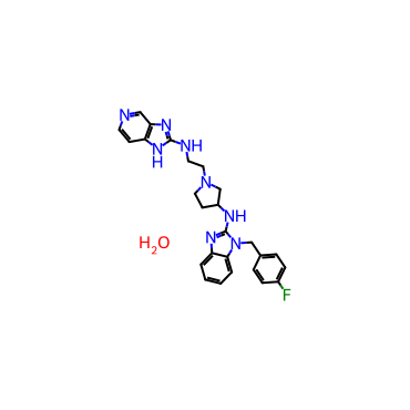 Fc1ccc(Cn2c(NC3CCN(CCNc4nc5cnccc5[nH]4)C3)nc3ccccc32)cc1.O